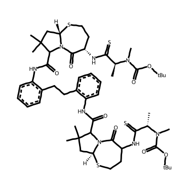 C[C@@H](C(=S)NC1CCS[C@H]2CC(C)(C)C(C(=O)Nc3ccccc3CCc3ccccc3NC(=O)C3N4C(=O)[C@@H](NC(=S)[C@H](C)N(C)C(=O)OC(C)(C)C)CCS[C@H]4CC3(C)C)N2C1=O)N(C)C(=O)OC(C)(C)C